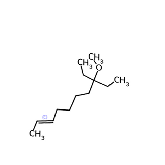 C/C=C/CCCCC(CC)(CC)OC